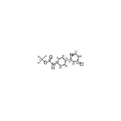 CC(C)(C)OC(=O)Nc1ccc(-c2cc(Cl)ccn2)cc1